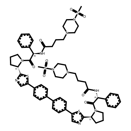 CS(=O)(=O)N1CCN(CCCC(=O)N[C@@H](C(=O)N2CCC[C@H]2c2ncc(-c3ccc(-c4ccc(-c5cnc([C@@H]6CCCN6C(=O)[C@H](NC(=O)CCCN6CCN(S(C)(=O)=O)CC6)c6ccccc6)s5)cc4)cc3)s2)c2ccccc2)CC1